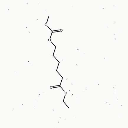 CCOC(=O)CCC[CH]COC(=O)OC